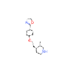 C[C@H]1CNCC[C@H]1CCOc1ccc(C2=NCCO2)cc1